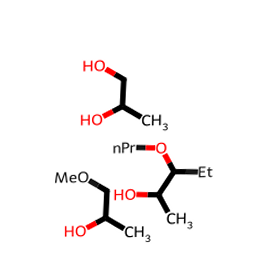 CC(O)CO.CCCOC(CC)C(C)O.COCC(C)O